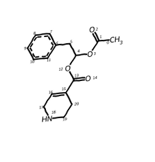 CC(=O)OC(Cc1ccccc1)OC(=O)C1=CCNCC1